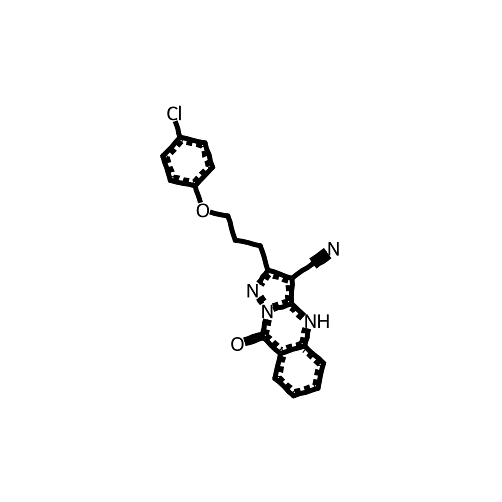 N#Cc1c(CCCOc2ccc(Cl)cc2)nn2c(=O)c3ccccc3[nH]c12